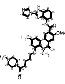 COc1cc(C(=O)N(C)c2ccc(C)cc2OCCCCC(=C=O)N2CCN(C)CC2)ccc1C(=O)Nc1cccc2[nH]c(-n3ccnc3)nc12